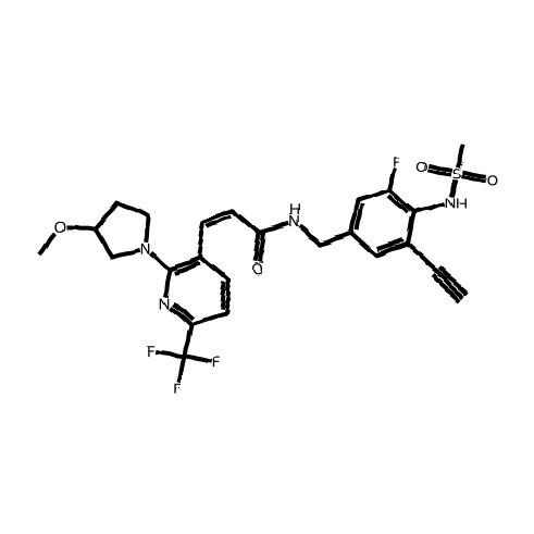 C#Cc1cc(CNC(=O)/C=C\c2ccc(C(F)(F)F)nc2N2CCC(OC)C2)cc(F)c1NS(C)(=O)=O